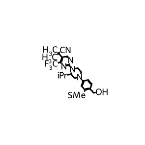 CSc1cc(N2CCN(c3ncc(C(C)(C)C#N)c(C(F)(F)F)n3)C(C(C)C)C2)ccc1CO